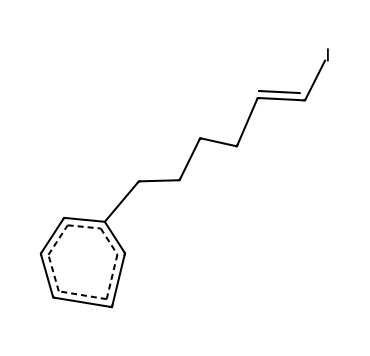 IC=CCCCCc1ccccc1